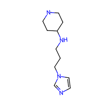 c1cn(CCCNC2CC[N]CC2)cn1